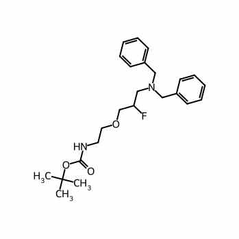 CC(C)(C)OC(=O)NCCOCC(F)CN(Cc1ccccc1)Cc1ccccc1